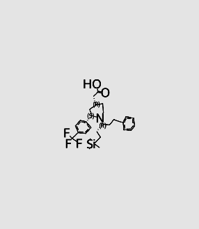 C[Si](C)(C)CC[C@@H](CCc1ccccc1)N1CC[C@@H](CC(=O)O)C[C@H]1c1ccc(C(F)(F)F)cc1